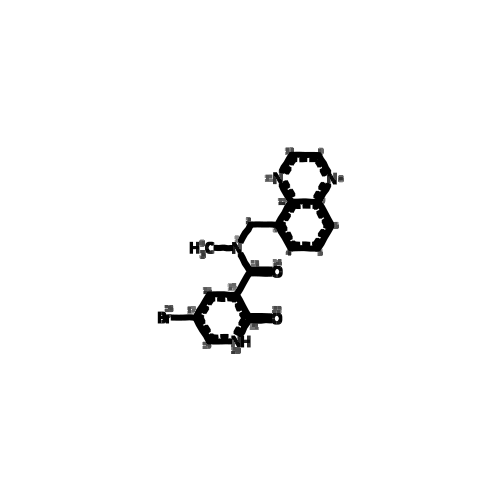 CN(Cc1cccc2nccnc12)C(=O)c1cc(Br)c[nH]c1=O